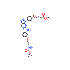 CCOC(=O)CCCOc1ccc(-n2nnc3cnc(Nc4cccc(OCCCNC(=O)OC(C)(C)C)c4)nc32)cc1